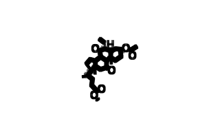 CC[C@H]1C(=O)C2C3CC[C@H]([C@H](C)CCC(=O)OC)[C@@]3(C)CC(=O)C2[C@@]2(C)CC[C@@H](OC(C)=O)C[C@@H]12